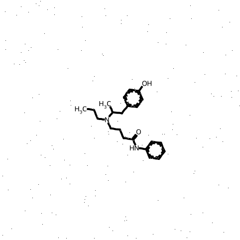 CCCN(CCCC(=O)Nc1ccccc1)C(C)Cc1ccc(O)cc1